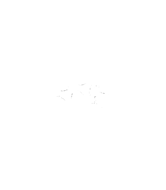 O=C1Nc2ccc(-c3ccncc3)cc2C1=NO